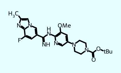 COc1cc(N2CCN(C(=O)OC(C)(C)C)CC2)cnc1NC(=N)c1cc(F)c2nc(C)cn2c1